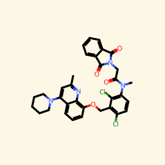 Cc1cc(N2CCCCC2)c2cccc(OCc3c(Cl)ccc(N(C)C(=O)CN4C(=O)c5ccccc5C4=O)c3Cl)c2n1